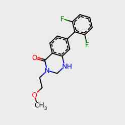 COCCN1CNc2cc(-c3c(F)cccc3F)ccc2C1=O